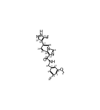 COc1cc(F)cc(CNC(=O)c2ncn3cc(-c4cn[nH]c4F)ccc23)c1